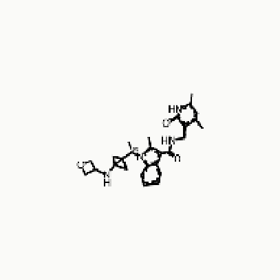 Cc1cc(C)c(CNC(=O)c2c(C)n([C@H](C)C34CC3(NC3COC3)C4)c3ccccc23)c(=O)[nH]1